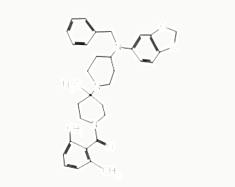 Cc1cccc(C)c1C(=O)N1CCC(C)(N2CCC(N(Cc3ccccc3)c3ccc4c(c3)OCO4)CC2)CC1